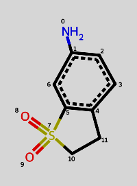 Nc1ccc2c(c1)S(=O)(=O)CC2